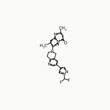 Cc1cc(=O)n2nc(N3CCc4ncc(-c5cnn(C(F)F)c5)cc4C3)c(C)cc2n1